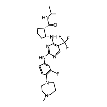 CC(C)NC(=O)[C@H]1CCC[C@H]1Nc1nc(Nc2ccc(N3CCCN(C)CC3)c(F)c2)ncc1C(F)(F)F